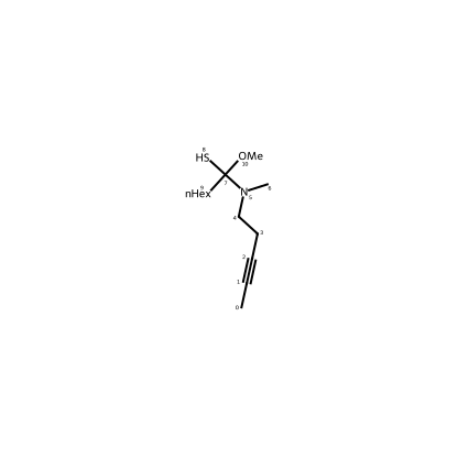 CC#CCCN(C)C(S)(CCCCCC)OC